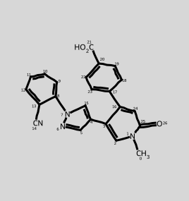 Cn1cc(-c2cnn(-c3ccccc3C#N)c2)c(-c2ccc(C(=O)O)cc2)cc1=O